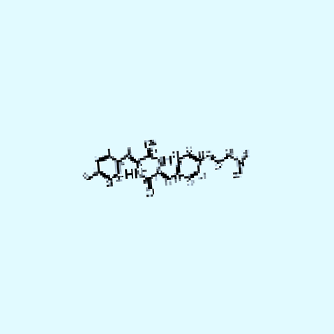 Cc1ccc(C=c2[nH]c(=O)c(=Cc3ccc(SCCN(C)C)cc3)[nH]c2=O)cc1